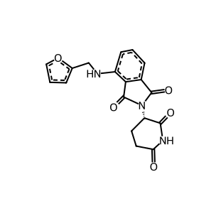 O=C1CC[C@H](N2C(=O)c3cccc(NCc4ccco4)c3C2=O)C(=O)N1